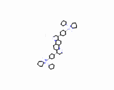 Cc1cc(-c2ccc(-c3nc4ccccc4n3-c3ccccc3)cc2)c2ccc3c(ccc4c(-c5ccc(-c6nc7ccccc7n6-c6ccccc6)cc5)cc(C)nc43)c2n1